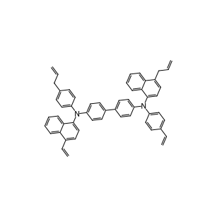 C=CCc1ccc(N(c2ccc(-c3ccc(N(c4ccc(C=C)cc4)c4ccc(CC=C)c5ccccc45)cc3)cc2)c2ccc(C=C)c3ccccc23)cc1